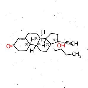 C#C[C@]1(O)CC[C@H]2[C@@H]3CCC4=CC(=O)CC[C@@H]4[C@H]3CC[C@@]21CCCC